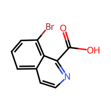 O=C(O)c1nccc2cccc(Br)c12